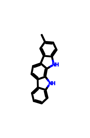 Cc1ccc2[nH]c3c(ccc4c5ccccc5[nH]c43)c2c1